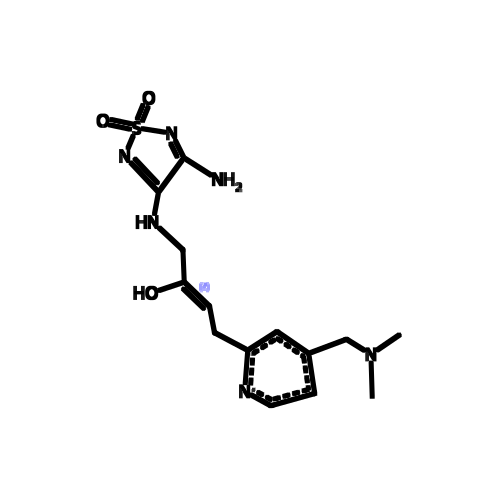 CN(C)Cc1ccnc(C/C=C(\O)CNC2=NS(=O)(=O)N=C2N)c1